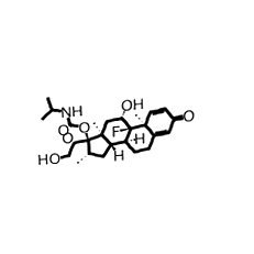 CC(C)NC(=O)O[C@]1(C(=O)CO)[C@@H](C)C[C@H]2[C@@H]3CCC4=CC(=O)C=C[C@]4(C)[C@@]3(F)[C@@H](O)C[C@@]21C